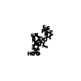 C=CCC(O)(COc1cccc(C(F)(F)F)n1)c1cnc(C)nc1C1CCN(C(=O)O)CC1